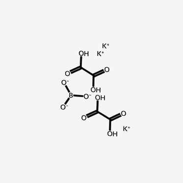 O=C(O)C(=O)O.O=C(O)C(=O)O.[K+].[K+].[K+].[O-]B([O-])[O-]